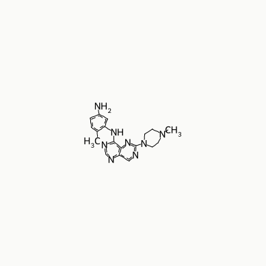 Cc1ccc(N)cc1Nc1ncnc2cnc(N3CCN(C)CC3)nc12